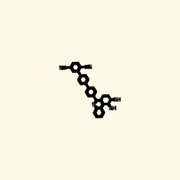 N#Cc1ccc(C#N)c(-c2ccc(-c3ccc(-c4nc5ccccc5c5c4C=CC(=N)C5=N)cc3)cc2)c1